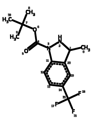 CC1NN(C(=O)OC(C)(C)C)c2ccc(C(F)(F)F)cc21